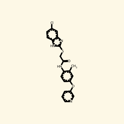 Cc1cc(Oc2cccnc2)ccc1NC(=O)CSc1nc2cc(Cl)ccc2[nH]1